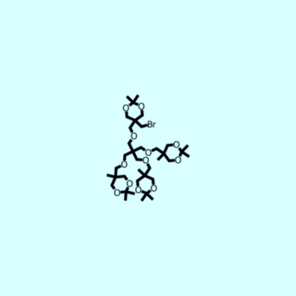 CC1(COCC(COCC2(C)COC(C)(C)OC2)(COCC2(C)COC(C)(C)OC2)COCC2(CBr)COC(C)(C)OC2)COC(C)(C)OC1